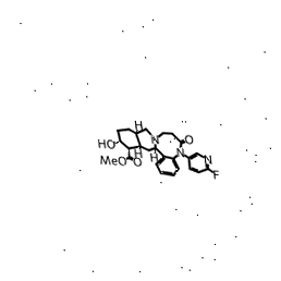 COC(=O)[C@@H]1[C@H]2C[C@H]3c4ccccc4N(c4ccc(F)nc4)C(=O)CCN3C[C@@H]2CC[C@@H]1O